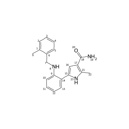 Cc1ccccc1CNc1ccccc1-c1cc(C(N)=O)c(C)[nH]1